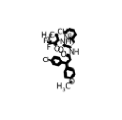 COc1ccc(C(CC(=O)N[C@@H](Cc2ccccn2)C(=O)N[C@H](C(=O)C(F)(F)F)C(C)C)c2ccc(Cl)cc2)cc1